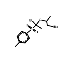 CCC(C)CC(C)OC(C)(CC)S(=O)(=O)c1ccc(C)cc1